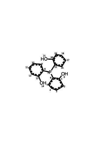 Oc1ccccc1P(c1ccccc1O)c1ccccc1O